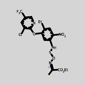 CCOC(=O)/C(C)=N\OSPc1cc(Oc2ncc(C(F)(F)F)cc2Cl)c(CC)cc1[N+](=O)[O-]